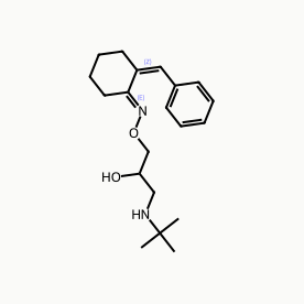 CC(C)(C)NCC(O)CO/N=C1\CCCC\C1=C\c1ccccc1